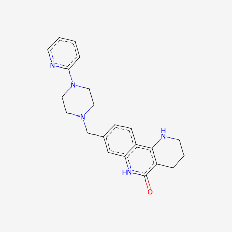 O=c1[nH]c2cc(CN3CCN(c4ccccn4)CC3)ccc2c2c1CCCN2